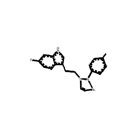 Cc1ccc(N2NC=CN2CCc2c[nH]c3cc(F)ccc23)cc1